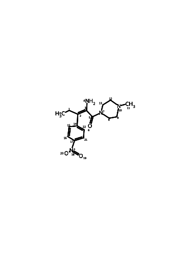 CC/C(=C(\N)C(=O)N1CCN(C)CC1)c1ccc([N+](=O)[O-])cc1